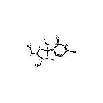 Nc1ccn([C@]2(CF)O[C@H](CO)[C@@H](O)[C@H]2O)c(=O)n1